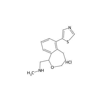 CNCC1OCCCc2c(-c3cncs3)cccc21.Cl